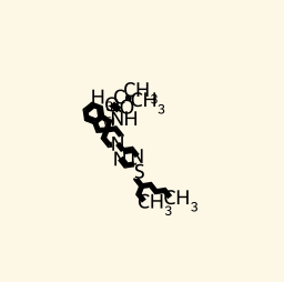 CCCCC(CC)CSc1cnc(N2CCC3(CC2)Cc2ccccc2[C@H]3NC(=O)OC(C)(C)C)cn1